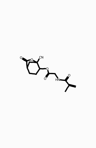 C=C(C)C(=O)NCC(=O)OC1CCC2CC1(C#N)OC2=O